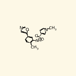 Cc1ccc(-c2cnco2)cc1NS(=O)(=O)c1ccn(C)c1